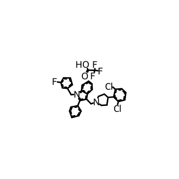 Fc1cccc(Cn2c(-c3ccccc3)c(CN3CCC(c4c(Cl)cccc4Cl)CC3)c3ccccc32)c1.O=C(O)C(F)(F)F